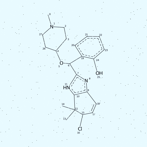 CN1CCC(OC(c2nc3c([nH]2)C(C)(C)C(Cl)C=C3)c2ccccc2O)CC1